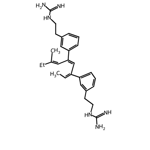 C\C=C(/C=C(\C=C(/C)CC)c1cccc(CCNC(=N)N)c1)c1cccc(CCNC(=N)N)c1